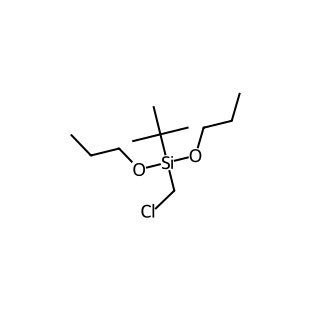 CCCO[Si](CCl)(OCCC)C(C)(C)C